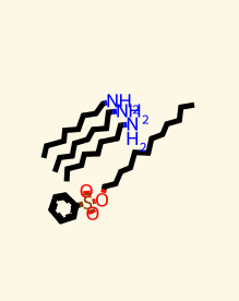 CCCCCCCCCCCCOS(=O)(=O)c1ccccc1.CCCCCCCCN.CCCCCCCCN.CCCCCCCCN